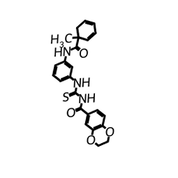 CC1(C(=O)Nc2cccc(NC(=S)NC(=O)c3ccc4c(c3)OCCO4)c2)C=CC=CC1